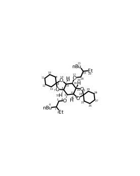 CCCCC(CC)CO[C@@H]1[C@H]2OC3(CCCCC3)O[C@H]2[C@@H](OCC(CC)CCCC)[C@@H]2OC3(CCCCC3)O[C@@H]12